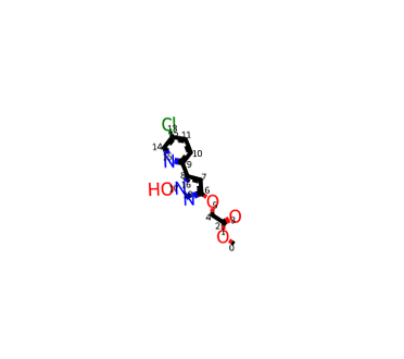 COC(=O)COc1cc(-c2ccc(Cl)cn2)n(O)n1